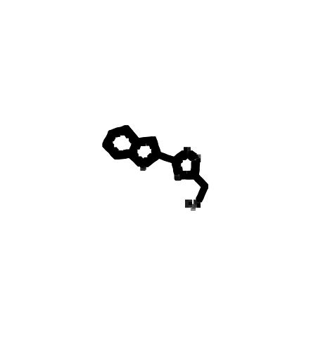 NCc1nnc(-c2cc3ccccc3s2)o1